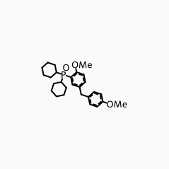 COc1ccc(Cc2ccc(OC)c(P(=O)(C3CCCCC3)C3CCCCC3)c2)cc1